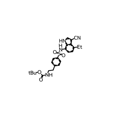 CCc1ccc(NS(=O)(=O)c2ccc(CCNC(=O)OC(C)(C)C)cc2)c2[nH]cc(C#N)c12